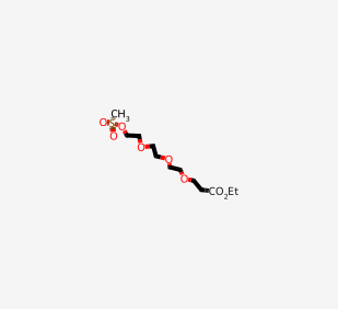 CCOC(=O)CCOCCOCCOCCOS(C)(=O)=O